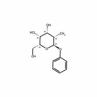 C[C@@H]1[C@@H](Oc2ccccc2)O[C@H](CO)[C@H](O)[C@@H]1O